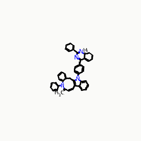 C=C1/C=C\c2c(n(-c3ccc(C4=NC(c5ccccc5)=N[C@H]5CC=CC=C45)cc3)c3ccccc23)Cc2ccccc2N1c1ccccc1